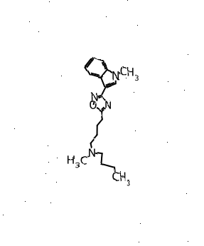 CCCCN(C)CCCCc1nc(-c2cn(C)c3ccccc23)no1